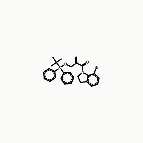 C=C(CO[Si](c1ccccc1)(c1ccccc1)C(C)(C)C)C(=O)N1CCc2cccc(Br)c21